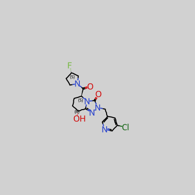 O=C([C@@H]1CC[C@@H](O)c2nn(Cc3cncc(Cl)c3)c(=O)n21)N1CC[C@H](F)C1